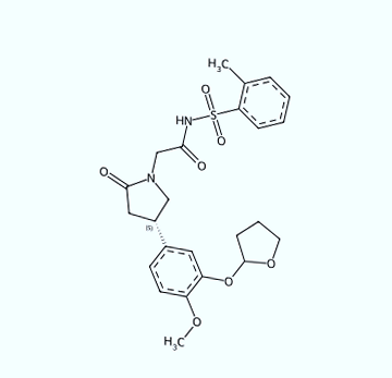 COc1ccc([C@@H]2CC(=O)N(CC(=O)NS(=O)(=O)c3ccccc3C)C2)cc1OC1CCCO1